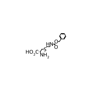 N[C@@H](CSCCNC(=O)OCc1ccccc1)C(=O)O